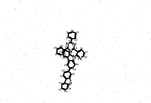 c1ccc(-c2nc(-c3ccccc3)nc(-c3cccnc3-n3c4ccccc4c4cc(-c5ccc6c(c5)sc5ccccc56)ccc43)n2)cc1